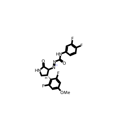 COc1cc(F)c([C@@H]2CNC(=O)C2/N=N/C(=O)Nc2ccc(F)c(F)c2)c(F)c1